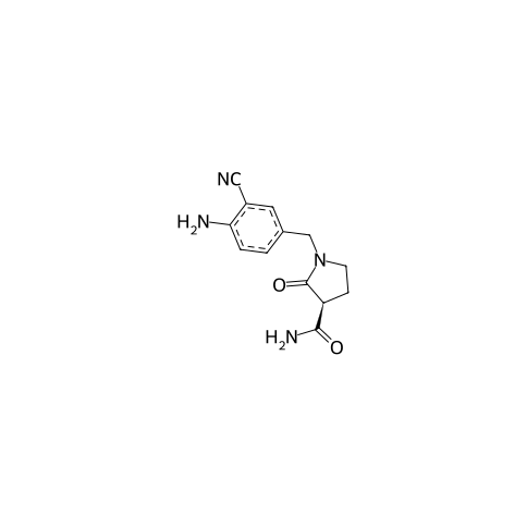 N#Cc1cc(CN2CC[C@@H](C(N)=O)C2=O)ccc1N